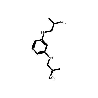 CC(CNc1cccc(NCC(C)[N+](=O)[O-])c1)[N+](=O)[O-]